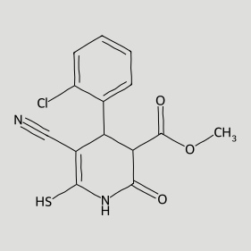 COC(=O)C1C(=O)NC(S)=C(C#N)C1c1ccccc1Cl